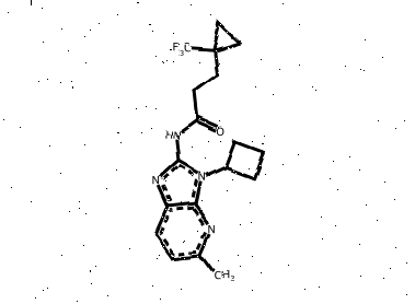 Cc1ccc2nc(NC(=O)CCC3(C(F)(F)F)CC3)n(C3CCC3)c2n1